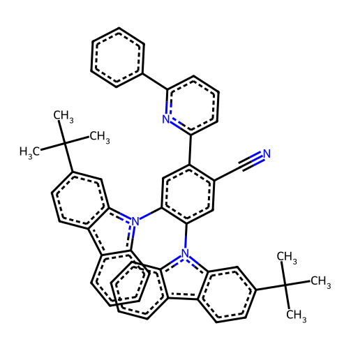 CC(C)(C)c1ccc2c3ccccc3n(-c3cc(C#N)c(-c4cccc(-c5ccccc5)n4)cc3-n3c4ccccc4c4ccc(C(C)(C)C)cc43)c2c1